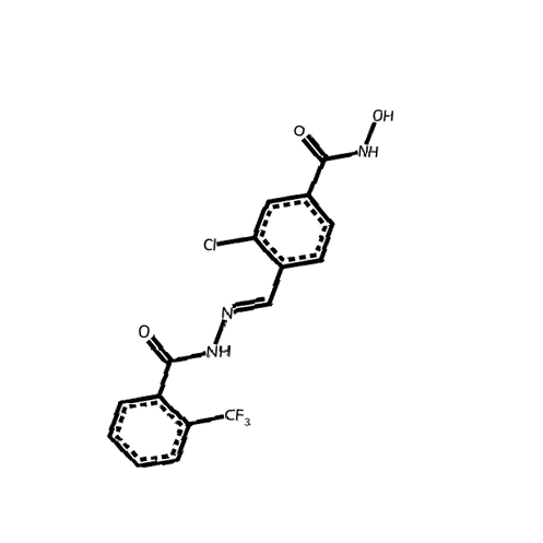 O=C(NO)c1ccc(C=NNC(=O)c2ccccc2C(F)(F)F)c(Cl)c1